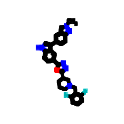 Cn1cc2cc(-c3c[nH]c4ccc(-c5nnc([C@@H]6CCCN(Cc7c(F)cccc7F)C6)o5)cc34)ccc2n1